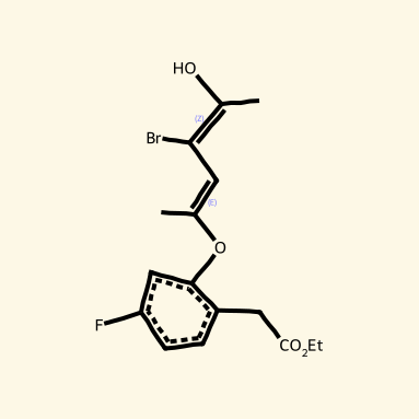 CCOC(=O)Cc1ccc(F)cc1O/C(C)=C/C(Br)=C(\C)O